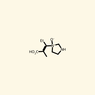 CCC(=C(C)C(=O)O)[N+]1([O-])CCNC1